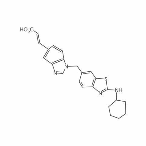 O=C(O)/C=C/c1ccc2c(c1)ncn2Cc1ccc2nc(NC3CCCCC3)sc2c1